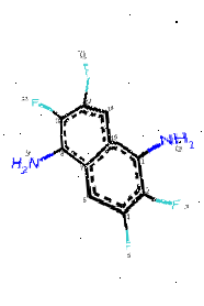 Nc1c(F)c(F)cc2c(N)c(F)c(F)cc12